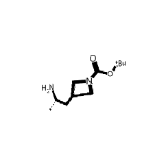 C[C@H](N)CC1CN(C(=O)OC(C)(C)C)C1